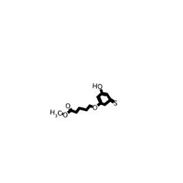 COC(=O)CCCCOC1=CC(O)=CC(=S)C1